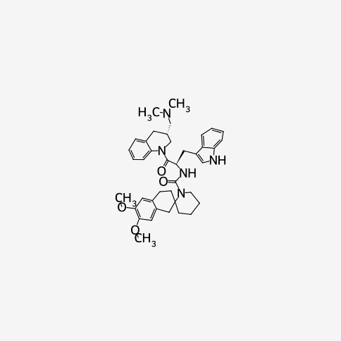 COc1cc2c(cc1OC)CC1(CCCCN1C(=O)N[C@H](Cc1c[nH]c3ccccc13)C(=O)N1C[C@@H](CN(C)C)Cc3ccccc31)CC2